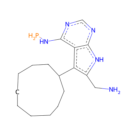 NCc1[nH]c2ncnc(NP)c2c1C1CCCCCCCCC1